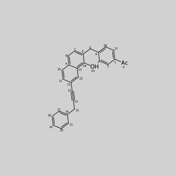 CC(=O)c1ccc(Cc2ccc3ccc(C#CCc4ccccc4)cc3c2O)cc1